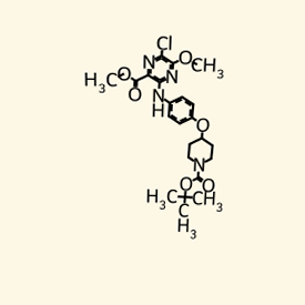 COC(=O)c1nc(Cl)c(OC)nc1Nc1ccc(OC2CCN(C(=O)OC(C)(C)C)CC2)cc1